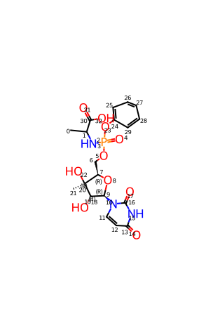 CC(NP(=O)(OC[C@H]1O[C@@H](n2ccc(=O)[nH]c2=O)[C@H](O)[C@@]1(C)O)Oc1ccccc1)C(=O)O